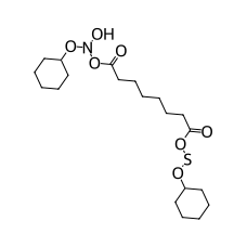 O=C(CCCCCCC(=O)ON(O)OC1CCCCC1)OSOC1CCCCC1